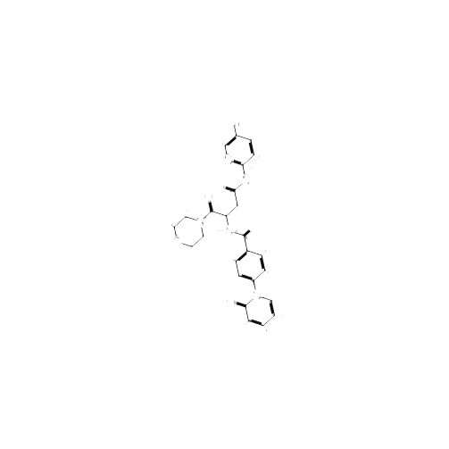 O=C(CC(NC(=O)c1ccc(-n2ccccc2=O)cc1)C(=O)N1CCOCC1)Nc1ccc(Cl)cn1